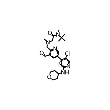 CN(CC(=O)N(C)C(C)(C)C)Cc1ncc(-c2nc(NC3CCOCC3)ncc2Cl)cc1C=O